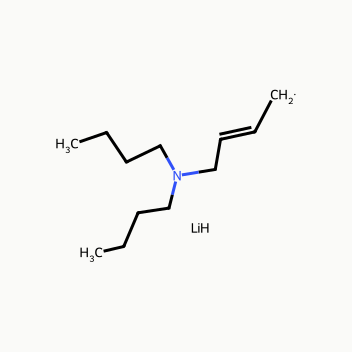 [CH2]/C=C/CN(CCCC)CCCC.[LiH]